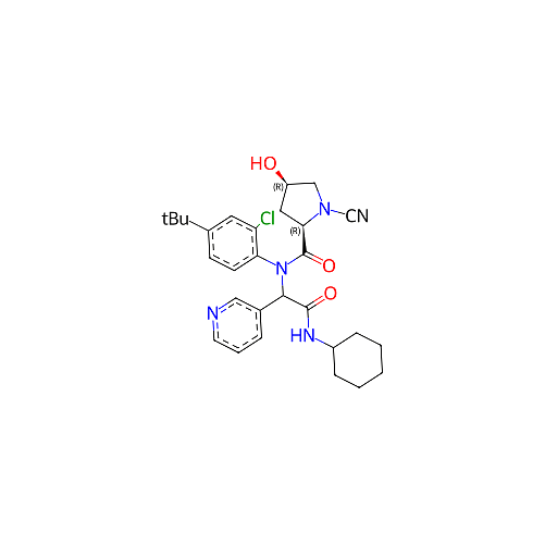 CC(C)(C)c1ccc(N(C(=O)[C@H]2C[C@@H](O)CN2C#N)C(C(=O)NC2CCCCC2)c2cccnc2)c(Cl)c1